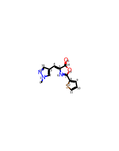 Cn1cc(/C=C2\N=C(c3cccs3)OC2=O)cn1